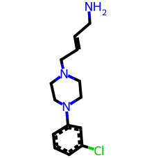 NCC=CCN1CCN(c2cccc(Cl)c2)CC1